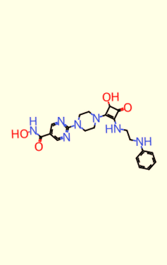 O=C(NO)c1cnc(N2CCN(C3=C(NCCNc4ccccc4)C(=O)C3O)CC2)nc1